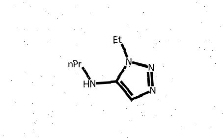 CCCNc1[c]nnn1CC